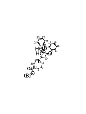 CC(C)(C)OC(=O)N1CCCN(CCC2Oc3ccccc3N(c3ccccc3)S2(O)O)CC1